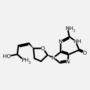 Nc1nc2c(ncn2[C@H]2CC[C@@H](/C=C\C(O)P)O2)c(=O)[nH]1